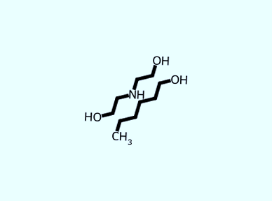 CCCCCCO.OCCNCCO